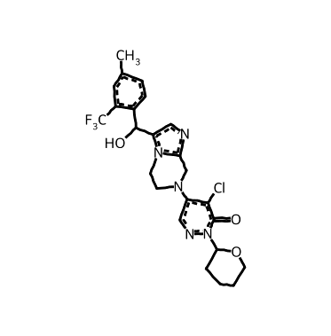 Cc1ccc(C(O)c2cnc3n2CCN(c2cnn(C4CCCCO4)c(=O)c2Cl)C3)c(C(F)(F)F)c1